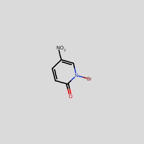 O=c1ccc([N+](=O)[O-])cn1Br